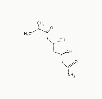 CN(C)C(=O)C[C@H](O)C[C@@H](O)CC(N)=O